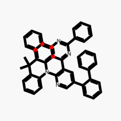 CC1(C)c2ccccc2N(c2ncc(-c3ccccc3-c3ccccc3)cc2-c2nc(-c3ccccc3)nc(-c3ccccc3)n2)c2ccccc21